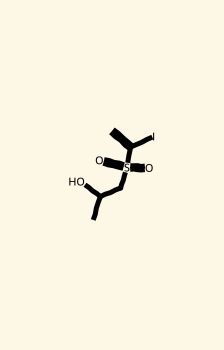 C=C(I)S(=O)(=O)CC(C)O